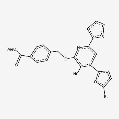 CCc1ccc(-c2cc(-c3cccs3)nc(OCc3ccc(C(=O)OC)cc3)c2C#N)o1